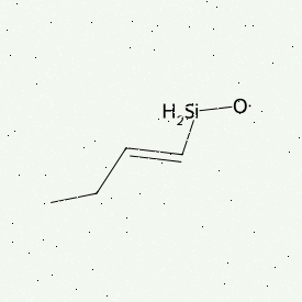 CC/C=C/[SiH2][O]